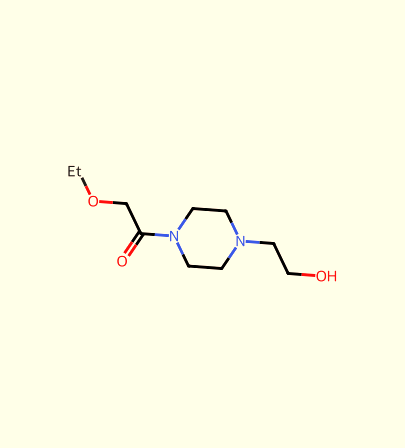 CCOCC(=O)N1CCN(CCO)CC1